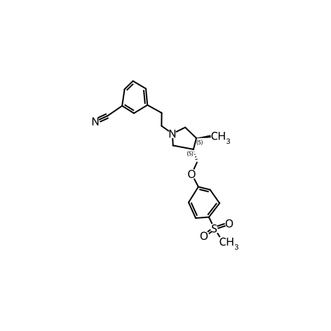 C[C@@H]1CN(CCc2cccc(C#N)c2)C[C@H]1COc1ccc(S(C)(=O)=O)cc1